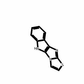 c1ccc2c(c1)[nH]c1c2nc2sccn21